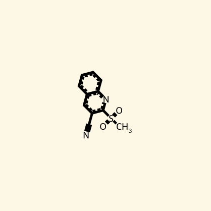 CS(=O)(=O)c1nc2ccccc2cc1C#N